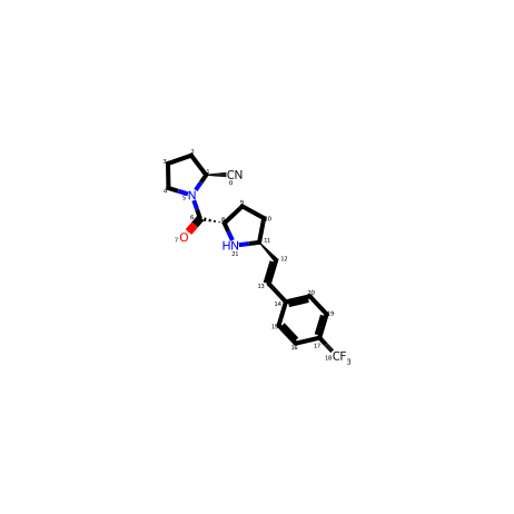 N#C[C@@H]1CCCN1C(=O)[C@@H]1CC[C@@H](C=Cc2ccc(C(F)(F)F)cc2)N1